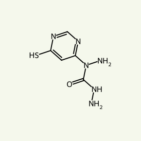 NNC(=O)N(N)c1cc(S)ncn1